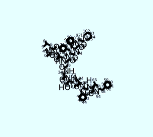 CC(=O)N(C)[C@@H](CC(C)C)C(=O)NCC(=O)CN[C@@H](CC(=O)N[C@@H](C)C(=O)N[C@H](C(=O)N(C)[C@@H](C)C(=O)N(C)[C@@H](Cc1ccccc1)C(=O)N[C@H](C(=O)N(C)CCc1ccccc1)C(C)C)[C@@H](C)O)C(=O)N(C)[C@@H](Cc1ccccc1)C(=O)N(C)[C@@H](Cc1ccccc1)C(=O)N[C@@H](C)C(=O)N1CCCCC1